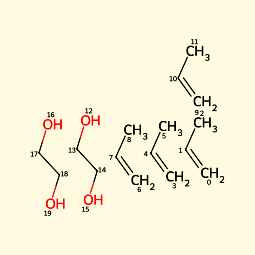 C=CC.C=CC.C=CC.C=CC.OCCO.OCCO